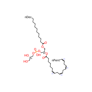 CCCCC/C=C\C/C=C\C/C=C\C/C=C\CCCCCC(=O)O[C@H](COC(=O)CCCCCCCCCCCCCCCCCCCC)COP(=O)(O)OC[C@@H](O)CO